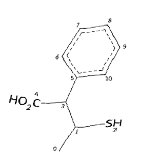 CC(S)C(C(=O)O)c1ccccc1